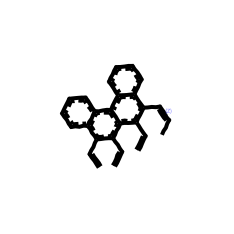 C=Cc1c(C=C)c2c(C=C)c(/C=C\C)c3ccccc3c2c2ccccc12